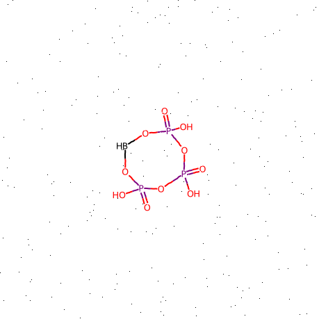 O=P1(O)OBOP(=O)(O)OP(=O)(O)O1